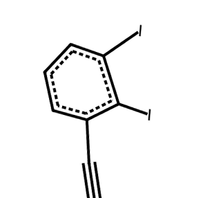 [C]#Cc1cccc(I)c1I